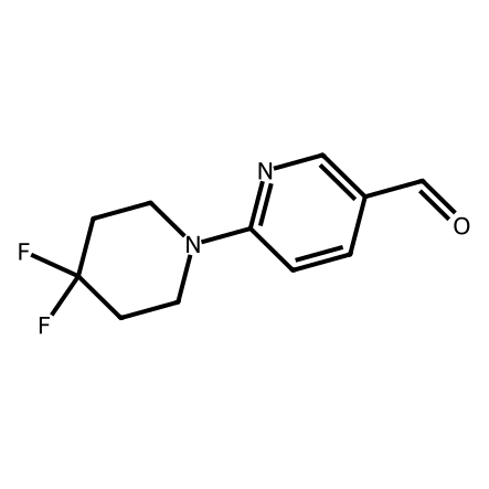 O=Cc1ccc(N2CCC(F)(F)CC2)nc1